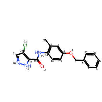 Cc1cc(OCc2ccccc2)ccc1NC(=O)c1[nH]ncc1Cl